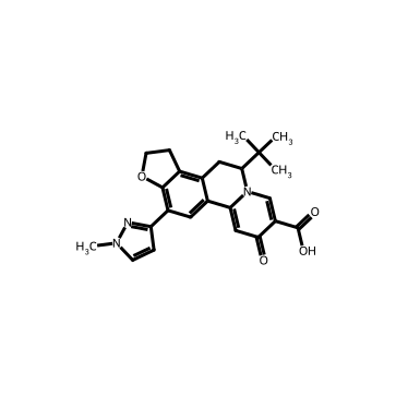 Cn1ccc(-c2cc3c(c4c2OCC4)CC(C(C)(C)C)n2cc(C(=O)O)c(=O)cc2-3)n1